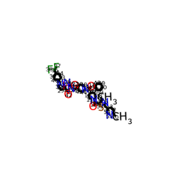 Cc1ccc(-c2nc(C)c(C(=O)N3CC[C@@H](C(=O)N4CCC(O)(Cn5cnc6c(ccn6-c6ccc(C(F)F)cc6)c5=O)CC4)[C@H](c4ccccc4)C3)s2)cn1